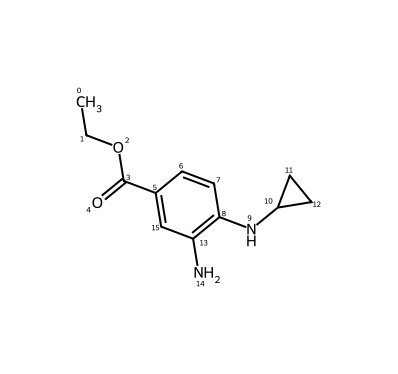 CCOC(=O)c1ccc(NC2CC2)c(N)c1